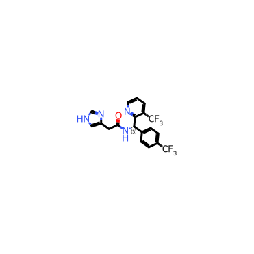 O=C(Cc1c[nH]cn1)N[C@@H](c1ccc(C(F)(F)F)cc1)c1ncccc1C(F)(F)F